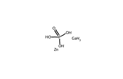 O=P(O)(O)O.[GaH3].[Zn]